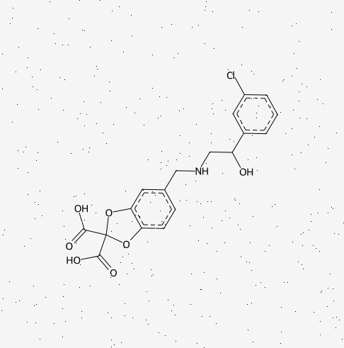 O=C(O)C1(C(=O)O)Oc2ccc(CNCC(O)c3cccc(Cl)c3)cc2O1